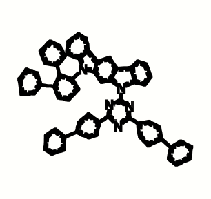 c1ccc(-c2ccc(-c3nc(-c4ccc(-c5ccccc5)cc4)nc(-n4c5ccccc5c5cc6c7ccccc7n(-c7cccc(-c8ccccc8)c7-c7ccccc7)c6cc54)n3)cc2)cc1